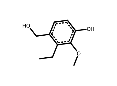 CCc1c(CO)ccc(O)c1OC